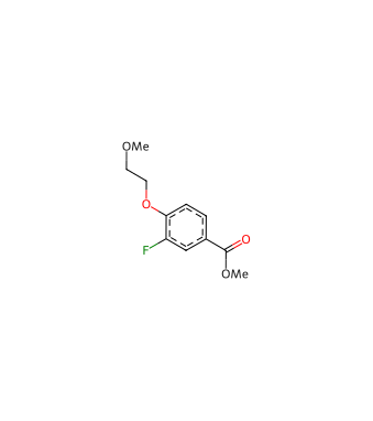 COCCOc1ccc(C(=O)OC)cc1F